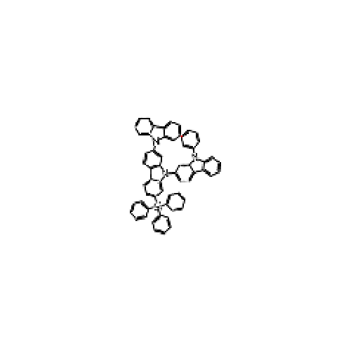 c1ccc(-n2c3ccccc3c3ccc(-n4c5cc(-n6c7ccccc7c7ccccc76)ccc5c5ccc([Si](c6ccccc6)(c6ccccc6)c6ccccc6)cc54)cc32)cc1